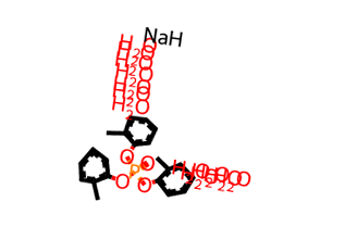 Cc1ccccc1OP(=O)(Oc1ccccc1C)Oc1ccccc1C.O.O.O.O.O.O.O.O.O.O.O.O.[NaH]